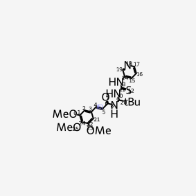 COc1cc(/C=C/C(=O)NC(NC(=S)Nc2cccnc2)C(C)(C)C)cc(OC)c1OC